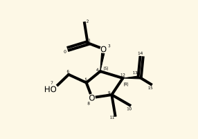 C=C(C)O[C@@H]1C(CO)OC(C)(C)[C@@H]1C(=C)C